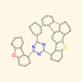 c1ccc(-c2nc(-c3cccc4oc5ccccc5c34)nc(-c3cccc4sc5c6cccc7c6c(cc5c34)-c3ccccc3-7)n2)cc1